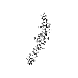 C=CC(=O)Nc1cc(Nc2nc(N3CCCC(N4CCn5c(cc6c5CC(C)(C)C6)C4=O)C3CO)cn(C)c2=O)ccc1N1CCN(C2CCN(c3ccc4c(c3)NC(=O)C4(C)C)[C@H](C)C2)C[C@@H]1C